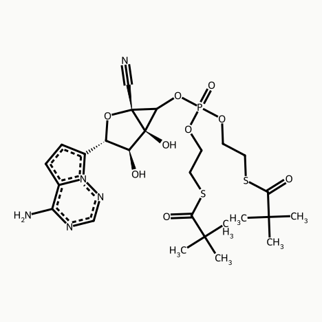 CC(C)(C)C(=O)SCCOP(=O)(OCCSC(=O)C(C)(C)C)OC1[C@@]2(C#N)O[C@@H](c3ccc4c(N)ncnn34)[C@H](O)[C@@]12O